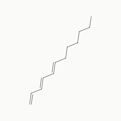 C=CC=CC=CCCCCCC